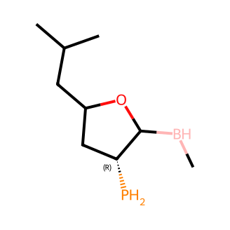 CBC1OC(CC(C)C)C[C@H]1P